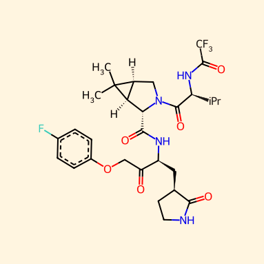 CC(C)[C@H](NC(=O)C(F)(F)F)C(=O)N1C[C@H]2[C@@H]([C@H]1C(=O)N[C@@H](C[C@@H]1CCNC1=O)C(=O)COc1ccc(F)cc1)C2(C)C